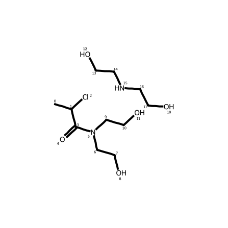 CC(Cl)C(=O)N(CCO)CCO.OCCNCCO